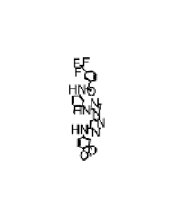 Cc1ccc(NC(=O)c2cccc(C(F)(F)F)c2)cc1Nc1nccn1-c1cc(Nc2ccc3c(c2)OCO3)ncn1